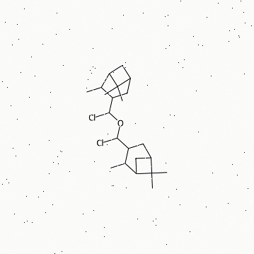 CC1C(C(Cl)OC(Cl)C2CC3CC(C2C)C3(C)C)CC2CC1C2(C)C